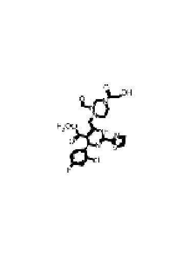 COC(=O)C1=C(CN2CCN(C(=O)CO)CN2C=O)NC(c2nccs2)=N[C@H]1c1ccc(F)cc1Cl